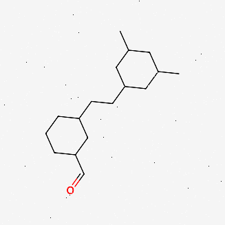 CC1CC(C)CC(CCC2CCCC(C=O)C2)C1